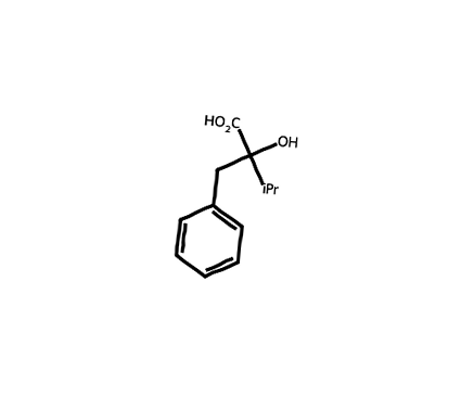 CC(C)C(O)(Cc1ccccc1)C(=O)O